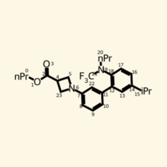 CCCOC(=O)C1CN(c2cccc(-c3cc(C(C)C)ccc3N(CCC)C(F)(F)F)c2)C1